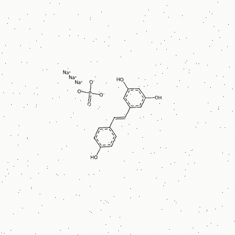 O=P([O-])([O-])[O-].Oc1ccc(C=Cc2cc(O)cc(O)c2)cc1.[Na+].[Na+].[Na+]